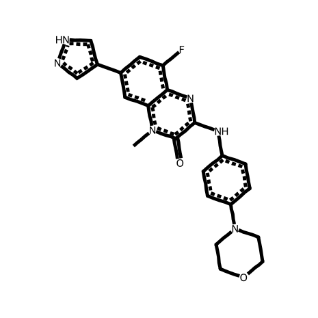 Cn1c(=O)c(Nc2ccc(N3CCOCC3)cc2)nc2c(F)cc(-c3cn[nH]c3)cc21